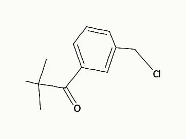 CC(C)(C)C(=O)c1cccc(CCl)c1